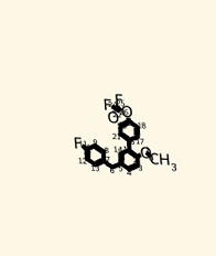 COc1ccc(Cc2ccc(F)cc2)cc1-c1ccc2c(c1)OC(F)(F)O2